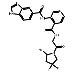 N#CC1CC(F)(F)CN1C(=O)CNC(=O)c1ccncc1NC(=O)c1ccc2[nH]cnc2c1